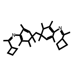 CC1=CC(C)(CC2(C)C=C(C)C(N=C(C)C3CCC3)=C(C)C2C)C(C)C(C)=C1N=C(C)C1CCC1